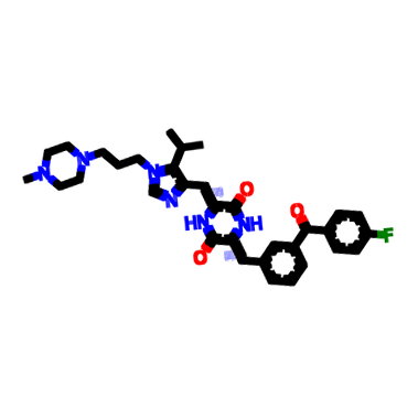 CC(C)c1c(/C=c2\[nH]c(=O)/c(=C/c3cccc(C(=O)c4ccc(F)cc4)c3)[nH]c2=O)ncn1CCCN1CCN(C)CC1